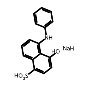 O=S(=O)(O)c1ccc(O)c2c(Nc3ccccc3)cccc12.[NaH]